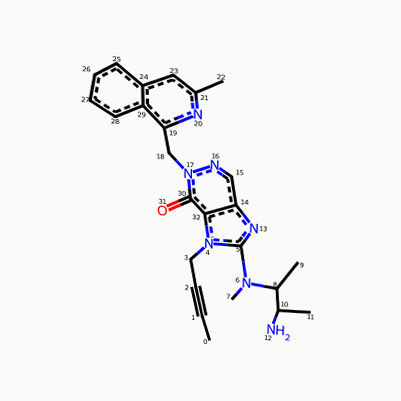 CC#CCn1c(N(C)C(C)C(C)N)nc2cnn(Cc3nc(C)cc4ccccc34)c(=O)c21